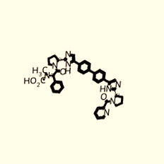 CN(C(=O)O)[C@@H](C(=O)N1CCC[C@H]1c1ncc(-c2ccc(-c3ccc(-c4cnc([C@@H]5CCCN5C(=O)c5ccccn5)[nH]4)cc3)cc2)[nH]1)c1ccccc1